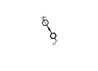 CCCCC12CCC(C#Cc3ccc(OCC)cc3)(CC1)CC2